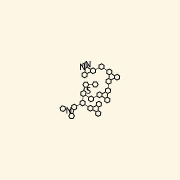 c1ccc(-c2cccc3c2sc2c(-c4cccc(-c5ccc6c(c5)c5ccccc5c5ccc(-c7ccc8c9cc(-c%10cccc(-c%11ccc%12c%13ccccc%13c%13nccnc%13c%12c%11)c%10)ccc9c9ccccc9c8c7)cc56)c4)c(-c4cc(-c5ccc6c7ccccc7c7ccccc7c6c5)cc(-c5ccc6c(c5)c5ccccc5n6-c5ccccc5)c4)ccc23)cc1